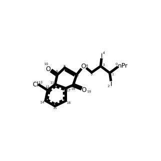 CCCC(I)C(I)COC1=CC(=O)c2c(Cl)cccc2C1=O